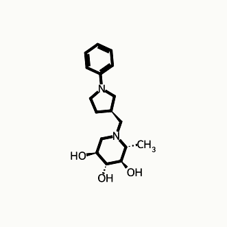 C[C@@H]1[C@@H](O)[C@H](O)[C@@H](O)CN1C[C@H]1CCN(c2ccccc2)C1